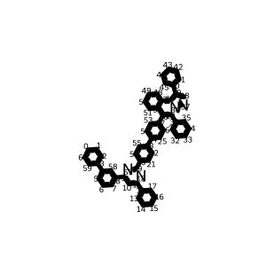 c1ccc(-c2cccc(-c3cc(-c4ccccc4)nc(-c4ccc(-c5ccc(-c6c(-c7ccccc7)n7ncc(-c8ccccc8)c7c7ccccc67)cc5)cc4)n3)c2)cc1